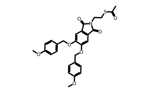 COc1ccc(COc2cc3c(cc2OCc2ccc(OC)cc2)C(=O)N(CCSC(C)=O)C3=O)cc1